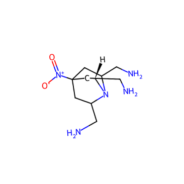 NCC1CC2([N+](=O)[O-])CC(CN)N1[C@@H](CN)C2